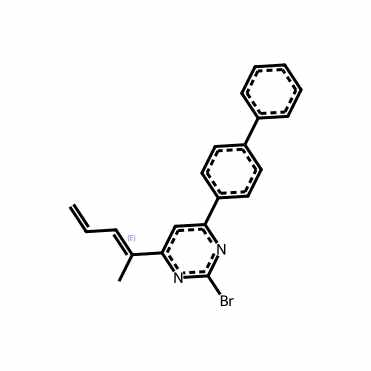 C=C/C=C(\C)c1cc(-c2ccc(-c3ccccc3)cc2)nc(Br)n1